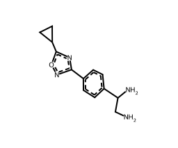 NCC(N)c1ccc(-c2noc(C3CC3)n2)cc1